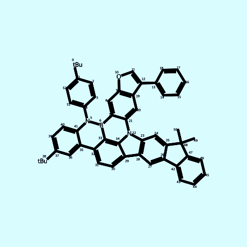 CC(C)(C)c1ccc(N2B3c4cc5occ(-c6ccccc6)c5cc4-n4c5cc6c(cc5c5ccc(c3c54)-c3cc(C(C)(C)C)ccc32)-c2ccccc2C6(C)C)cc1